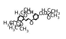 CCCc1ccc(OC(C)(C)C)c(/C=C/C(=O)c2ccc(OCOC(=O)C(C)(C)C)cc2)c1OC(C)(C)C